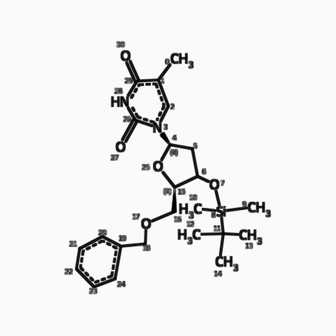 Cc1cn([C@H]2CC(O[Si](C)(C)C(C)(C)C)[C@@H](COCc3ccccc3)O2)c(=O)[nH]c1=O